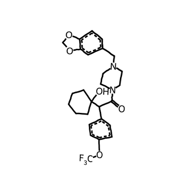 O=C(C(c1ccc(OC(F)(F)F)cc1)C1(O)CCCCC1)N1CCN(Cc2ccc3c(c2)OCO3)CC1